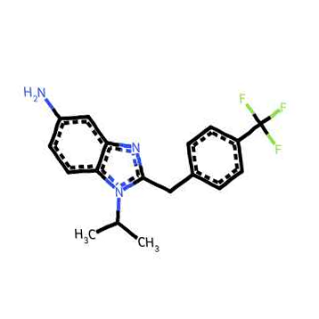 CC(C)n1c(Cc2ccc(C(F)(F)F)cc2)nc2cc(N)ccc21